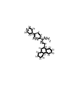 C=C(/C=C\C(=N)C(N)/N=C/c1cc2ccccc2c2ccccc12)c1ccncc1